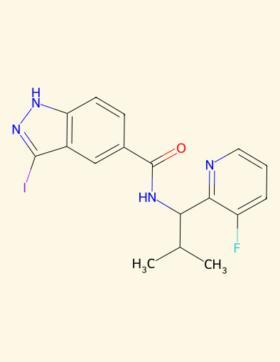 CC(C)C(NC(=O)c1ccc2[nH]nc(I)c2c1)c1ncccc1F